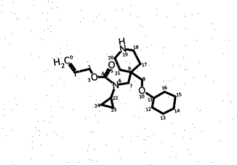 C=CCOC(=O)N(CC1(COC2CCCCC2)CCNCC1)C1CC1